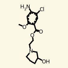 COc1cc(N)c(Cl)cc1C(=O)OCCN1CCCC(O)C1